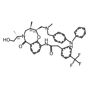 C[C@@H]1CN([C@@H](C)CO)C(=O)c2cccc(NC(=O)Cc3ccc(C(F)(F)F)cc3)c2O[C@@H]1CN(C)Cc1ccc(Nc2ccccc2)cc1